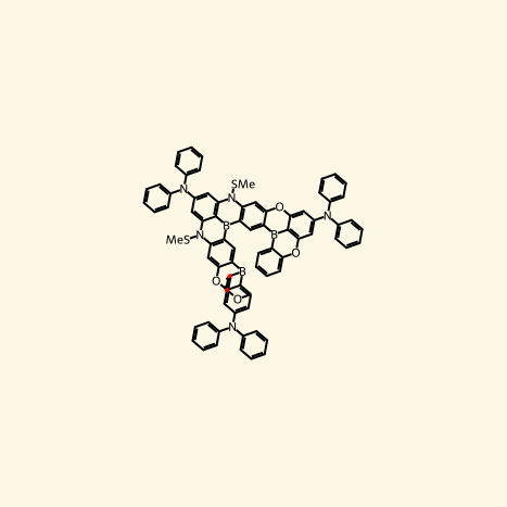 CSN1c2cc3c(cc2B2c4cc5c(cc4N(SC)c4cc(N(c6ccccc6)c6ccccc6)cc1c42)Oc1cc(N(c2ccccc2)c2ccccc2)cc2c1B5c1ccccc1O2)B1c2ccccc2Oc2cc(N(c4ccccc4)c4ccccc4)cc(c21)O3